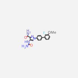 COc1cccc(-c2ccc(-n3cc(NC(N)=O)c(C(N)=O)n3)cc2)c1F